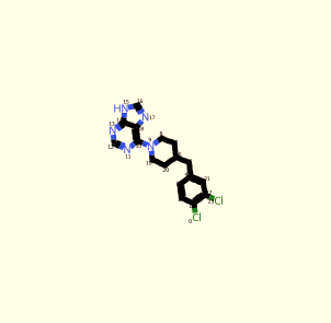 Clc1ccc(C[C]2CCN(c3ncnc4[nH]cnc34)CC2)cc1Cl